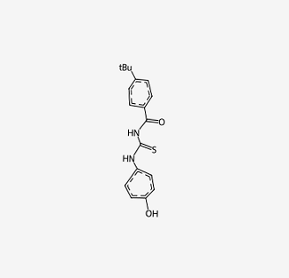 CC(C)(C)c1ccc(C(=O)NC(=S)Nc2ccc(O)cc2)cc1